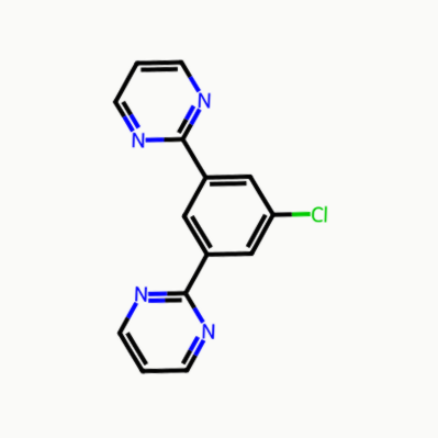 Clc1cc(-c2ncccn2)cc(-c2ncccn2)c1